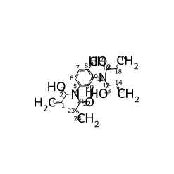 C=CC(O)N(c1ccc(C)c(N(C(O)C=C)C(O)C=C)c1)C(O)C=C